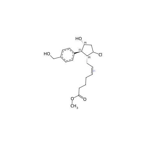 COC(=O)CCC/C=C\C[C@H]1C(Cl)C[C@@H](O)[C@@H]1c1ccc(CO)cc1